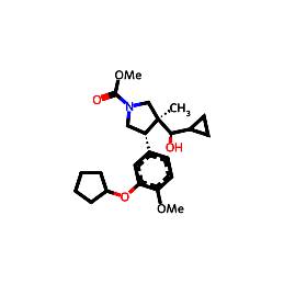 COC(=O)N1C[C@@H](c2ccc(OC)c(OC3CCCC3)c2)[C@](C)([C@H](O)C2CC2)C1